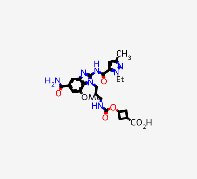 CCn1nc(C)cc1C(=O)Nc1nc2cc(C(N)=O)cc(OC)c2n1CCCNC(=O)OC1CC(C(=O)O)C1